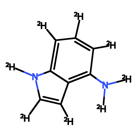 [2H]c1c([2H])c([2H])c2c(c([2H])c([2H])n2[2H])c1N([2H])[2H]